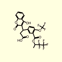 CC(OC(=O)c1cc(C(CC(=O)O)c2c(O)c3ccccc3oc2=O)ccc1OC(F)(F)F)C(F)(F)C(F)(F)F